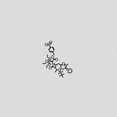 CCOP(OCC)(OCC)=C(C(=O)OCc1ccc([N+](=O)[O-])cc1)N1C(=O)C(C(C)O[Si](C)(C)C(C)(C)C)C1CC(=O)SCC(=NC)N1CCCC1